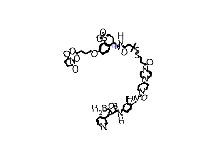 BC12OB=C(Nc3ccc(CNC(=O)N4CCC(N5CCN(C(=O)CCSSC(C)(C)CC(=O)N/N=C6\CCS(=O)(=O)c7cc(OCCCC(=O)ON8C(=O)CCC8=O)ccc76)CC5)CC4)c(F)c3)C1C2c1cccnc1